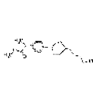 CCCCC[C@H]1CC[C@H](c2ccc(C(C)C(=O)OC)cc2)CC1